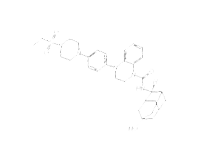 CCS(=O)(=O)N1CCN(c2ccc(N3CCN(C(=O)N[C@H]4C5CC6CC4C[C@@](O)(C6)C5)c4ccccc43)cc2)CC1